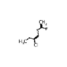 C=C(F)S/C=C(/Cl)CC